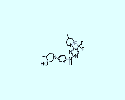 CC1CCN(c2nc(Nc3ccc(N4CCC(C)C(O)C4)cc3)ncc2C(F)(F)F)CC1